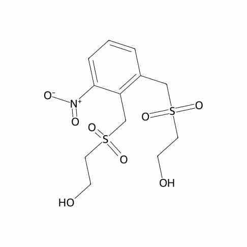 O=[N+]([O-])c1cccc(CS(=O)(=O)CCO)c1CS(=O)(=O)CCO